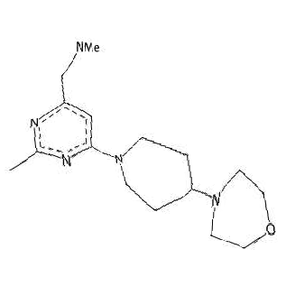 CNCc1cc(N2CCC(N3CCOCC3)CC2)nc(C)n1